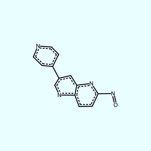 O=Nc1ccc2ncc(-c3ccncc3)cc2n1